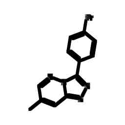 Cc1cnn2c(-c3ccc(C(C)C)cc3)nnc2c1